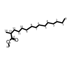 CCCCCCCCCCCCCC(C)C(=O)OC